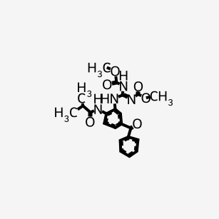 COC(=O)N=C(NC(=O)OC)Nc1cc(C(=O)c2ccccc2)ccc1NC(=O)C(C)C